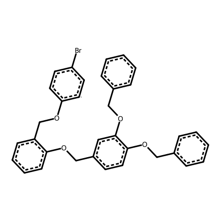 Brc1c[c]c(OCc2ccccc2OCc2ccc(OCc3ccccc3)c(OCc3ccccc3)c2)cc1